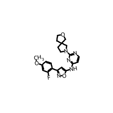 COc1ccc(-c2cc(Nc3ccnc(N4CCC5(CCOC5)C4)n3)on2)c(F)c1